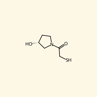 O=C(CS)N1CC[C@@H](O)C1